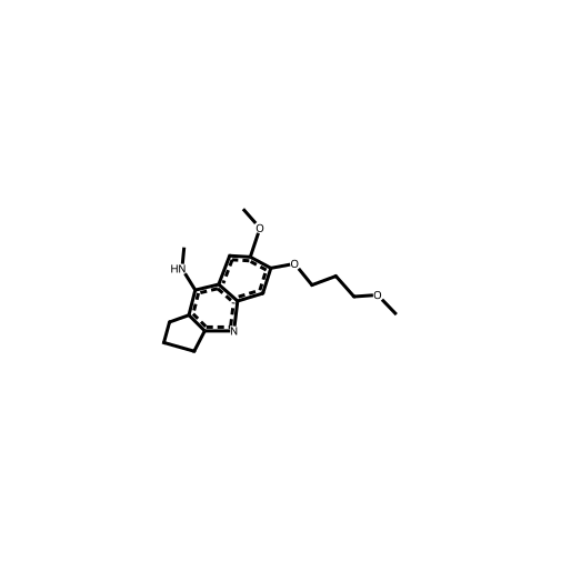 CNc1c2c(nc3cc(OCCCOC)c(OC)cc13)CCC2